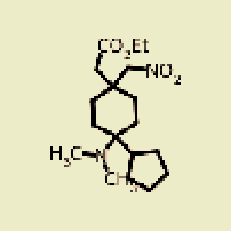 CCOC(=O)CC1(C[N+](=O)[O-])CCC(C2CCCC2)(N(C)C)CC1